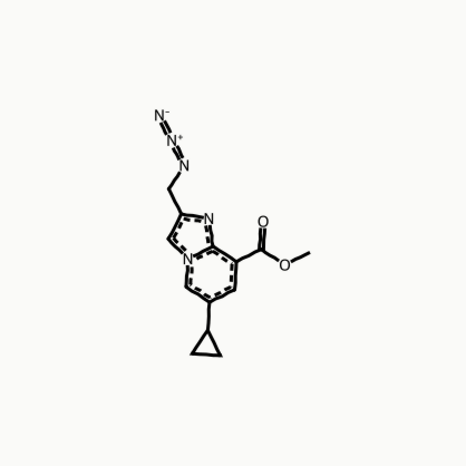 COC(=O)c1cc(C2CC2)cn2cc(CN=[N+]=[N-])nc12